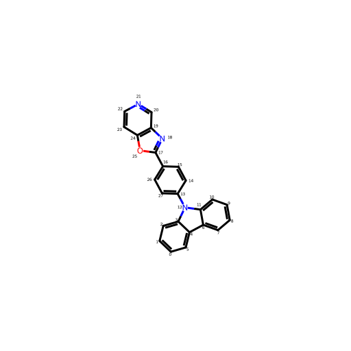 c1ccc2c(c1)c1ccccc1n2-c1ccc(-c2nc3cnccc3o2)cc1